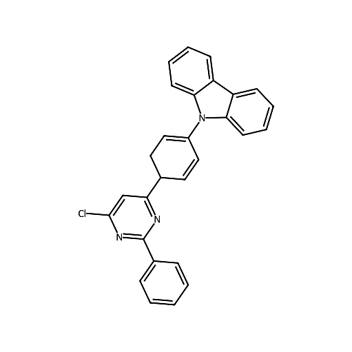 Clc1cc(C2C=CC(n3c4ccccc4c4ccccc43)=CC2)nc(-c2ccccc2)n1